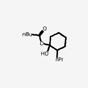 CCCCC(=O)OC1(O)CCCCC1CCC